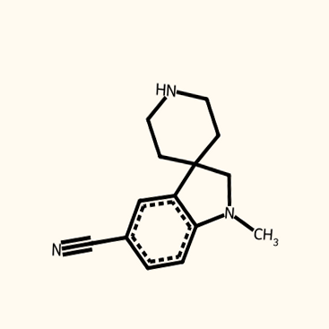 CN1CC2(CCNCC2)c2cc(C#N)ccc21